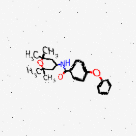 CC1(C)CC(NC(=O)c2ccc(Oc3ccccc3)cc2)CC(C)(C)O1